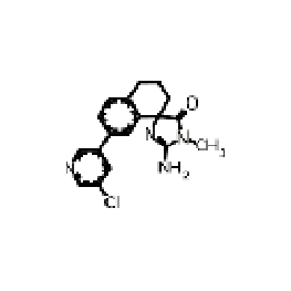 CN1C(=O)C2(CCCc3ccc(-c4cncc(Cl)c4)cc32)N=C1N